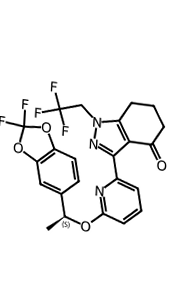 C[C@H](Oc1cccc(-c2nn(CC(F)(F)F)c3c2C(=O)CCC3)n1)c1ccc2c(c1)OC(F)(F)O2